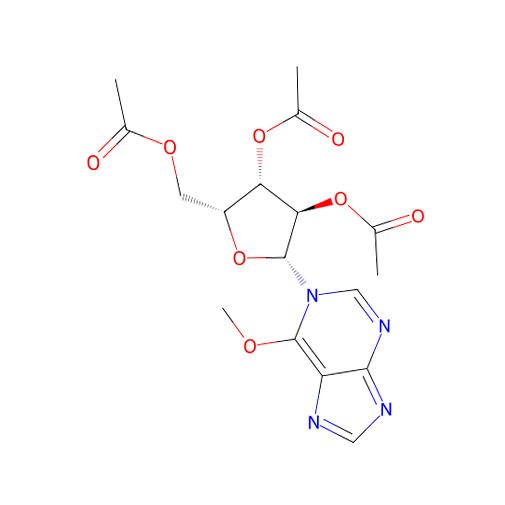 COc1c2ncnc-2ncn1[C@@H]1O[C@H](COC(C)=O)[C@H](OC(C)=O)[C@H]1OC(C)=O